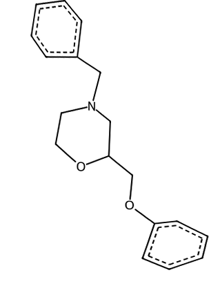 c1ccc(CN2CCOC(COc3ccccc3)C2)cc1